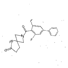 O=C1CCC2(CN(C(=O)c3c(F)cc(-c4ccccc4)cc3F)C2)N1